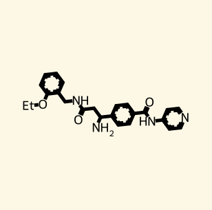 CCOc1ccccc1CNC(=O)CC(N)c1ccc(C(=O)Nc2ccncc2)cc1